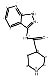 O=C(Nc1n[nH]c2ncccc12)C1CCNCC1